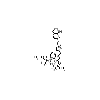 COCC(C)(C)Oc1cccc([C@H](CC(=O)OC(C)(C)C)CN2CC[C@@](F)(CCc3ccc4c(n3)NCCC4)C2)c1